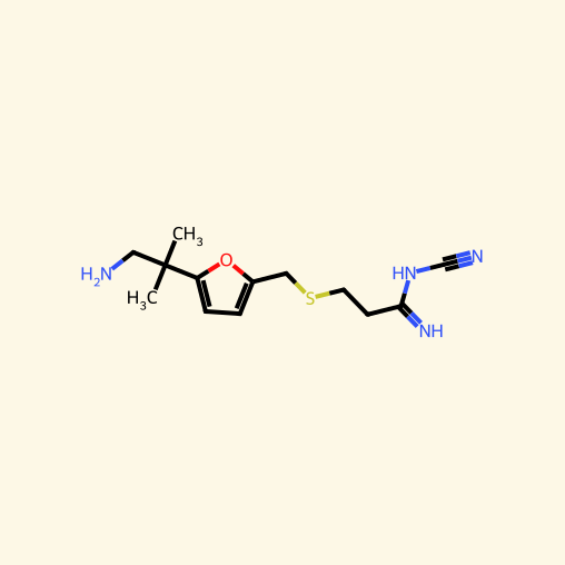 CC(C)(CN)c1ccc(CSCCC(=N)NC#N)o1